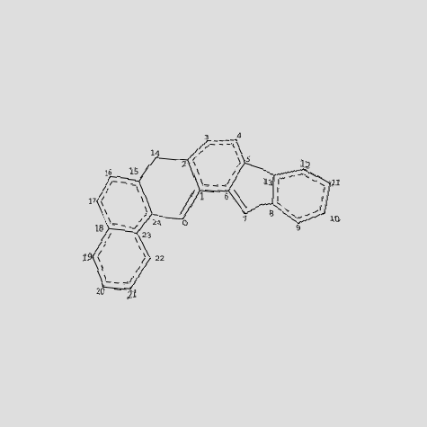 C1=c2c(ccc3c2=Cc2ccccc2-3)Cc2ccc3ccccc3c21